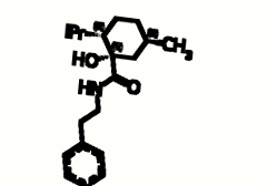 CC(C)[C@@H]1CC[C@@H](C)C[C@@]1(O)C(=O)NCCc1ccncc1